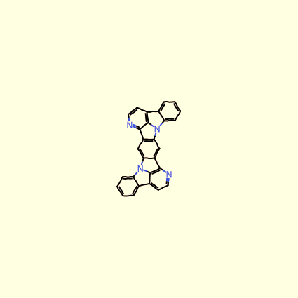 c1ccc2c(c1)c1ccnc3c4cc5c(cc4n2c13)c1nccc2c3ccccc3n5c21